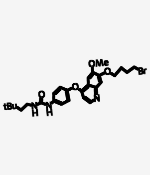 COc1cc2c(Oc3ccc(NC(=O)NCCC(C)(C)C)cc3)ccnc2cc1OCCCCBr